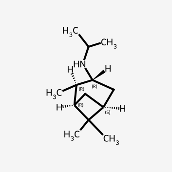 CC(C)N[C@@H]1C[C@@H]2C[C@H]([C@H]1C)C2(C)C